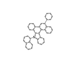 c1ccc(-c2cc3c4ccccc4c4c(c5ccccc5n4-c4cccc5ccccc45)c3c3ccccc23)cc1